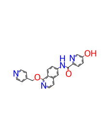 O=C(Nc1ccc2c(OCc3ccncc3)nccc2c1)c1ccc(O)cn1